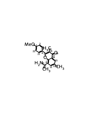 COc1ccc(-c2oc3c([C@@H](C)N)cc(C)cc3c(=O)c2C)cc1